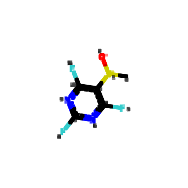 C[S+]([O-])c1c(F)nc(F)nc1F